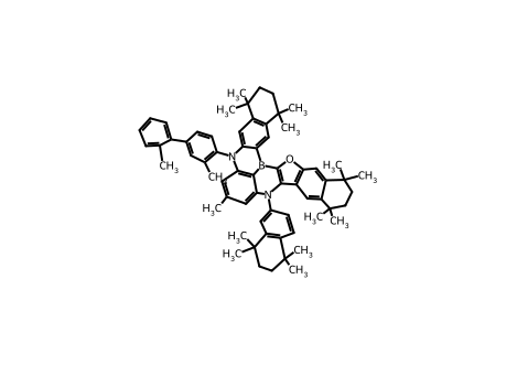 Cc1cc2c3c(c1)N(c1ccc4c(c1)C(C)(C)CCC4(C)C)c1c(oc4cc5c(cc14)C(C)(C)CCC5(C)C)B3c1cc3c(cc1N2c1ccc(-c2ccccc2C)cc1C)C(C)(C)CCC3(C)C